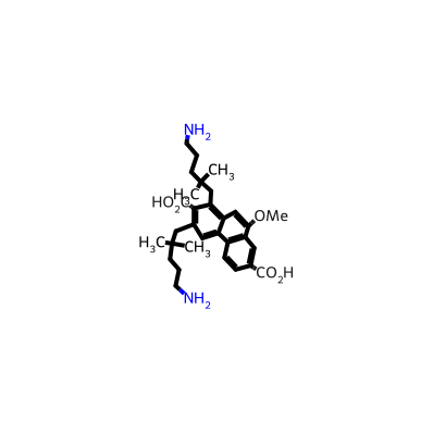 COc1cc2c(CC(C)(C)CCCN)c(C(=O)O)c(CC(C)(C)CCCN)cc2c2ccc(C(=O)O)cc12